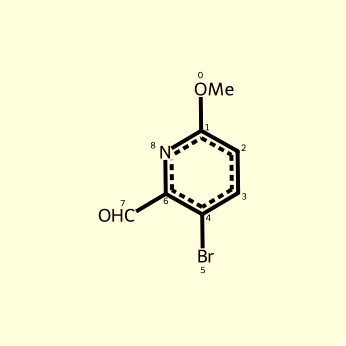 COc1ccc(Br)c(C=O)n1